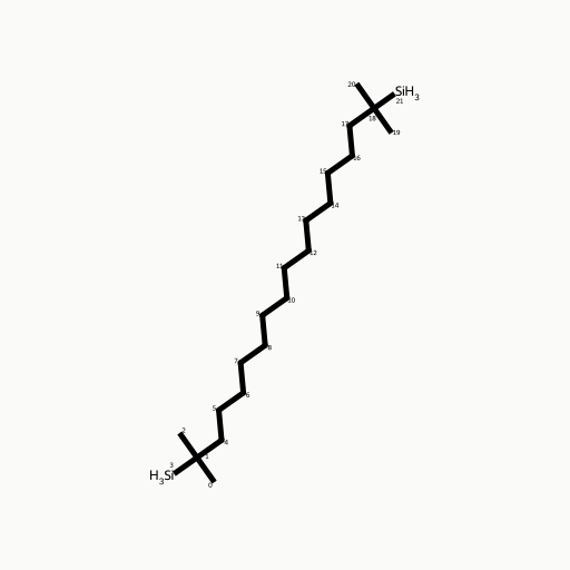 CC(C)([SiH3])CCCCCCCCCCCCCCC(C)(C)[SiH3]